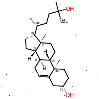 C[C@H](CCC(C)(O)C(C)(C)C)[C@H]1CC[C@H]2[C@@H]3CC=C4C[C@@H](O)CC[C@]4(C)[C@H]3CC[C@]12C